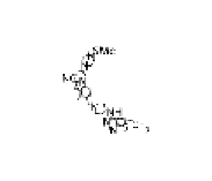 CSN1CCN(C(C)Cn2c(C#N)cc3c(C)c(CN4CCC(Nc5ncnc6sc(CC(F)(F)F)cc56)CC4)ccc32)CC1